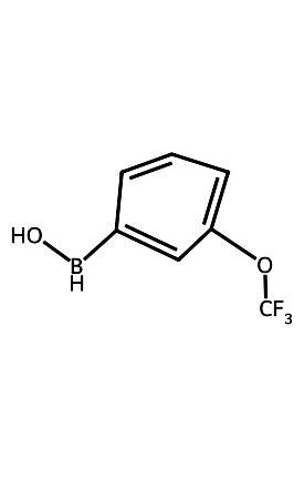 OBc1cccc(OC(F)(F)F)c1